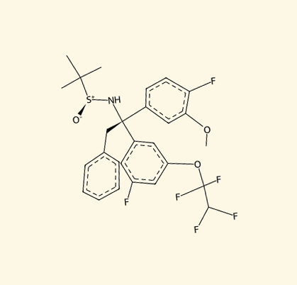 COc1cc([C@@](Cc2ccccc2)(N[S@@+]([O-])C(C)(C)C)c2cc(F)cc(OC(F)(F)C(F)F)c2)ccc1F